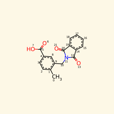 Cc1ccc(C(=O)O)cc1CN1C(=O)c2ccccc2C1=O